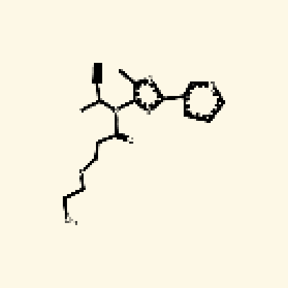 C#CC(C)N(C(=O)CCSCCC(F)(F)F)c1sc(-c2cccnc2)nc1C